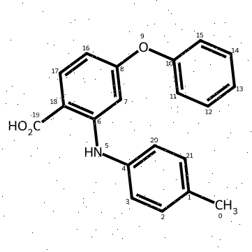 Cc1ccc(Nc2cc(Oc3ccccc3)ccc2C(=O)O)cc1